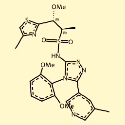 COc1cccc(OC)c1-n1c(NS(=O)(=O)[C@H](C)[C@@H](OC)c2nc(C)cs2)nnc1-c1cncc(C)c1